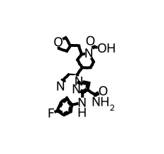 N#CC[C@@H](C1CCN(C(=O)O)C(CC2CCOC2)C1)n1cc(C(N)=O)c(Nc2ccc(F)cc2)n1